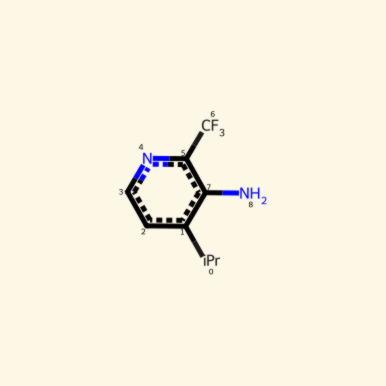 CC(C)c1ccnc(C(F)(F)F)c1N